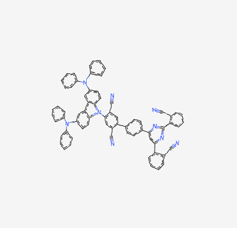 N#Cc1cc(-n2c3ccc(N(c4ccccc4)c4ccccc4)cc3c3cc(N(c4ccccc4)c4ccccc4)ccc32)c(C#N)cc1-c1ccc(-c2cc(-c3ccccc3C#N)nc(-c3ccccc3C#N)n2)cc1